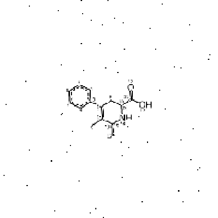 CC1=C(c2ccccc2)C[C@@H](C(=O)O)N[C@H]1C